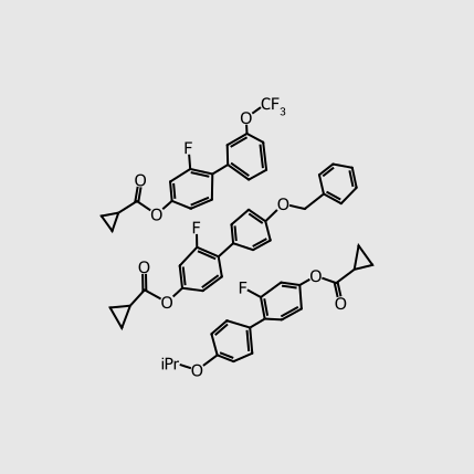 CC(C)Oc1ccc(-c2ccc(OC(=O)C3CC3)cc2F)cc1.O=C(Oc1ccc(-c2ccc(OCc3ccccc3)cc2)c(F)c1)C1CC1.O=C(Oc1ccc(-c2cccc(OC(F)(F)F)c2)c(F)c1)C1CC1